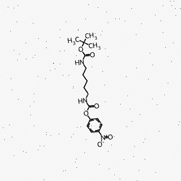 CC(C)(C)OC(=O)NCCCCCNC(=O)Oc1ccc([N+](=O)[O-])cc1